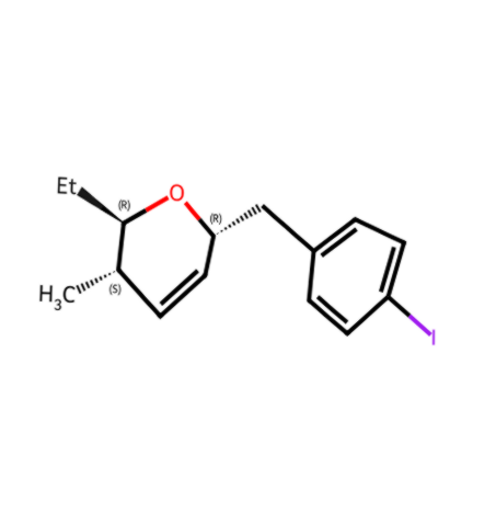 CC[C@H]1O[C@H](Cc2ccc(I)cc2)C=C[C@@H]1C